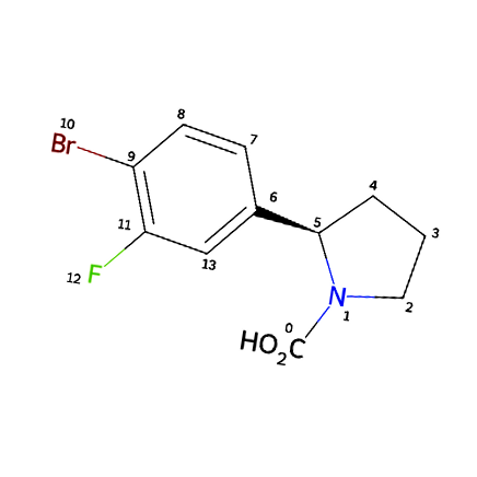 O=C(O)N1CCC[C@@H]1c1ccc(Br)c(F)c1